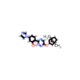 C[C@]12CC[C@](C)(C[C@@H](Oc3cnc(-c4ccc(-n5ccnc5)cc4O)nn3)C1)C2